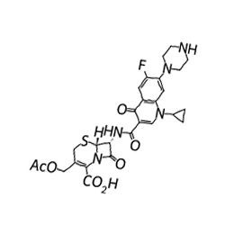 CC(=O)OCC1=C(C(=O)O)N2C(=O)[C@@H](NC(=O)c3cn(C4CC4)c4cc(N5CCNCC5)c(F)cc4c3=O)[C@H]2SC1